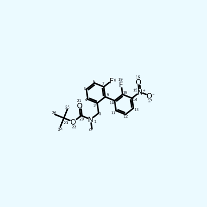 CN(Cc1cccc(F)c1-c1cccc([N+](=O)[O-])c1F)C(=O)OC(C)(C)C